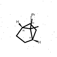 CC(C)[C@@H]1C[C@@H]2CC[C@H]1C2(C)C